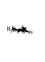 CC(C)CCCNc1c(F)cc(F)c2oc(-c3ccc(NCCCN(C)C)c(F)c3)cc(=O)c12